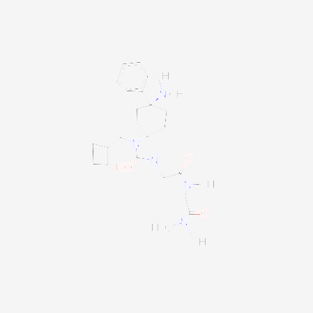 CN(C)C(=O)CN(C)C(=O)CN1C[C@]2(CC[C@](c3ccccc3)(N(C)C)CC2)N(CC2CCC2)C1O